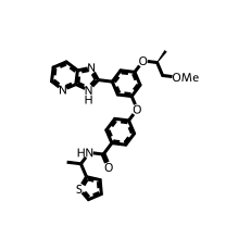 COC[C@H](C)Oc1cc(Oc2ccc(C(=O)NC(C)c3cccs3)cc2)cc(-c2nc3cccnc3[nH]2)c1